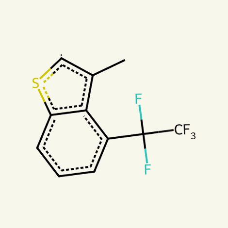 Cc1[c]sc2cccc(C(F)(F)C(F)(F)F)c12